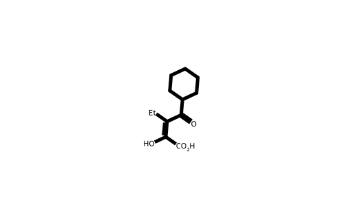 CC/C(C(=O)C1CCCCC1)=C(\O)C(=O)O